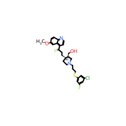 COc1ccc2nccc([C@H](F)CC[C@@H]3CCN(CCCSc4cc(F)cc(Cl)c4)C[C@@H]3CO)c2c1